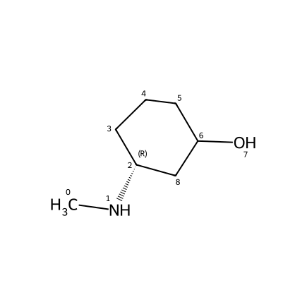 CN[C@@H]1CCCC(O)C1